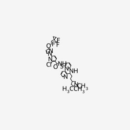 CN1CC(CCC(Nc2cccc(SNC(=O)c3ccc(-n4ccc(OCCC5(C(F)(F)F)CC5)n4)nc3Cl)n2)c2ccccn2)CC1(C)C